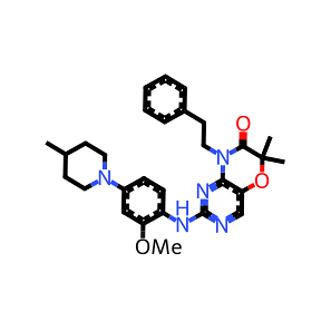 COc1cc(N2CCC(C)CC2)ccc1Nc1ncc2c(n1)N(CCc1ccccc1)C(=O)C(C)(C)O2